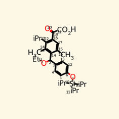 CCOC(c1ccc(O[Si](C(C)C)(C(C)C)C(C)C)cc1)c1c(C)cc(C(=O)C(=O)O)c(C(C)C)c1C